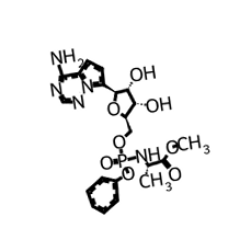 COC(=O)[C@H](C)NP(=O)(OC[C@H]1O[C@@H](c2ccc3c(N)ncnn23)[C@H](O)[C@@H]1O)Oc1ccccc1